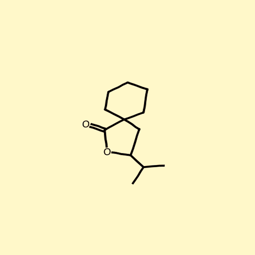 CC(C)C1CC2(CCCCC2)C(=O)O1